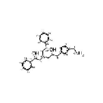 NCc1ccc(CCCN(C[C@@H](O)c2ccccc2)C[C@@H](O)c2ccccc2)s1